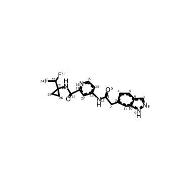 O=C(Cc1ccc2cn[nH]c2c1)Nc1ccnc(C(=O)NC2(C(F)F)CC2)c1